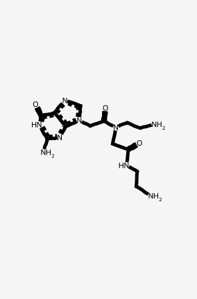 NCCNC(=O)CN(CCN)C(=O)Cn1cnc2c(=O)[nH]c(N)nc21